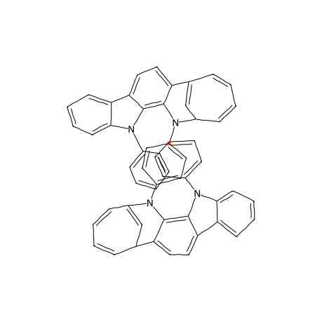 C1=CC2=CC(C=C1)N(c1ccc(N3C4=CC(C=CC=C4)c4ccc5c6ccccc6n(-c6ccccc6)c5c43)cc1)c1c2ccc2c3ccccc3n(-c3ccccc3)c12